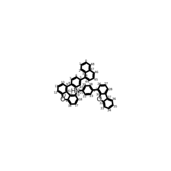 c1ccc2c(-c3ccc(-c4cccc5oc6cccc(Nc7ccc(-c8cccc9c8oc8ccccc89)cc7)c6c45)cc3)cccc2c1